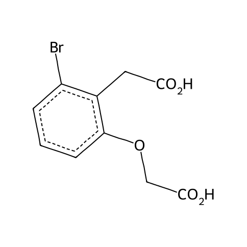 O=C(O)COc1cccc(Br)c1CC(=O)O